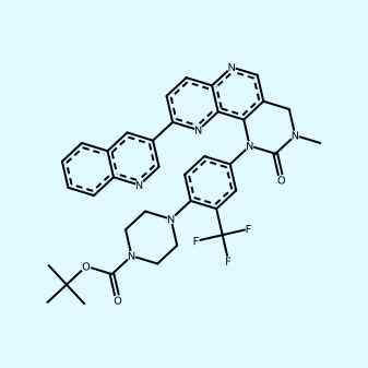 CN1Cc2cnc3ccc(-c4cnc5ccccc5c4)nc3c2N(c2ccc(N3CCN(C(=O)OC(C)(C)C)CC3)c(C(F)(F)F)c2)C1=O